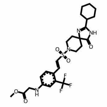 COC(=O)CNc1ccc(/C=C/S(=O)(=O)N2CCC3(CC2)N=C(C2CCCCC2)NC3=O)c(C(F)(F)F)c1